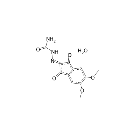 COc1cc2c(=O)c(=NNC(N)=O)c(=O)c2cc1OC.O